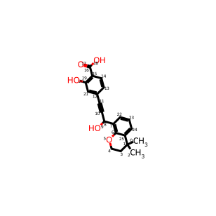 CC1(C)CCOc2c(C(O)C#Cc3ccc(C(=O)O)c(O)c3)cccc21